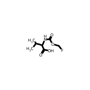 CC(C)C(NC(=O)OCF)C(=O)O